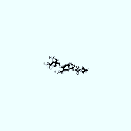 C=CCC(CC)(CC)COc1cc2nnc(NS(=O)(=O)N3CC(F)C3)n2cc1CC